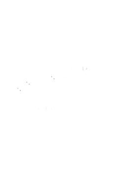 CC(C)(C)OC(=O)N1CCCn2ncc(C=O)c2C1